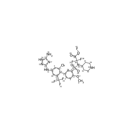 COc1ccc(-c2c(Cl)cc(Nc3n[nH]c(N)n3)cc2C(F)(F)F)cc1S(=O)(=O)N(C1CCNCC1)C(F)(F)C(=O)OF